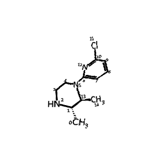 C[C@@H]1NCCN(c2cccc(Cl)n2)[C@H]1C